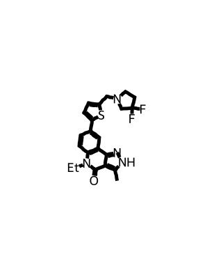 CCn1c(=O)c2c(C)[nH]nc2c2cc(-c3ccc(CN4CCC(F)(F)C4)s3)ccc21